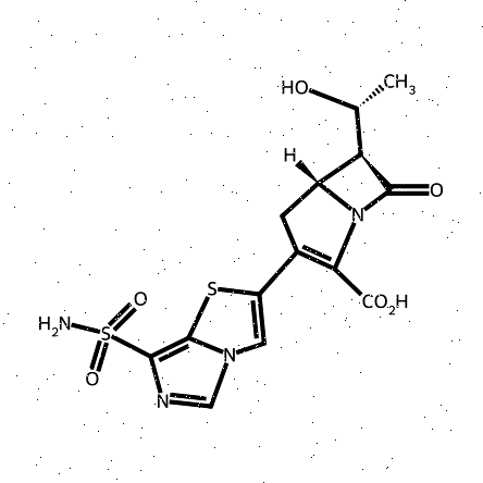 C[C@@H](O)[C@H]1C(=O)N2C(C(=O)O)=C(c3cn4cnc(S(N)(=O)=O)c4s3)C[C@H]12